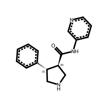 O=C(Nc1cccnc1)[C@H]1CNC[C@@H]1c1ccccc1